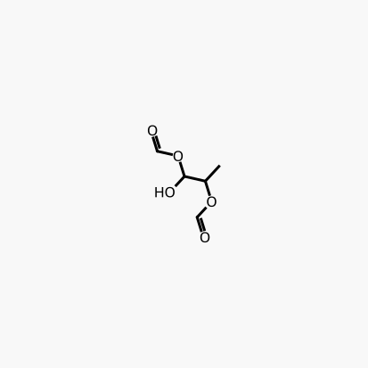 CC(OC=O)C(O)OC=O